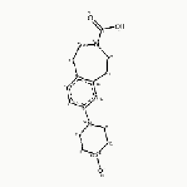 O=C(O)N1CCc2ccc(N3CC[S+]([O-])CC3)nc2CC1